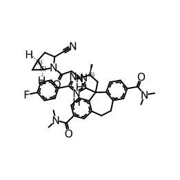 C[C@@H](CC1(c2nnc(-c3ccc(F)cc3)[nH]2)c2ccc(C(=O)N(C)C)cc2CCc2cc(C(=O)N(C)C)ccc21)NCC(=O)N1C(C#N)C[C@@H]2C[C@@H]21